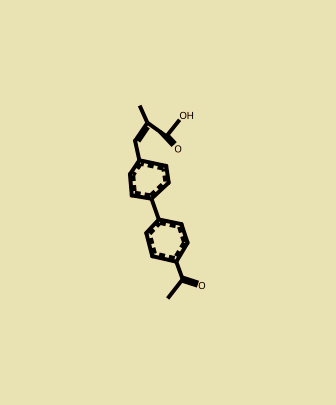 CC(=O)c1ccc(-c2ccc(C=C(C)C(=O)O)cc2)cc1